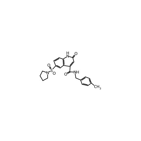 Cc1ccc(CNC(=O)c2cc(=O)[nH]c3ccc(S(=O)(=O)N4CCCC4)cc23)cc1